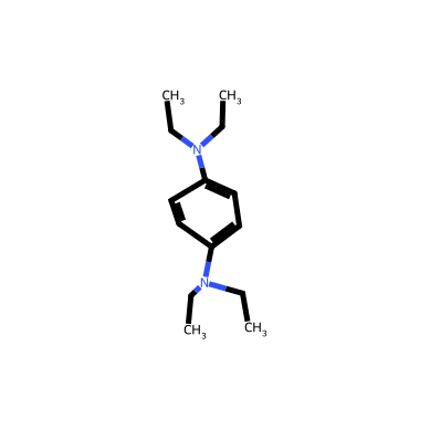 CCN(CC)c1ccc(N(CC)CC)cc1